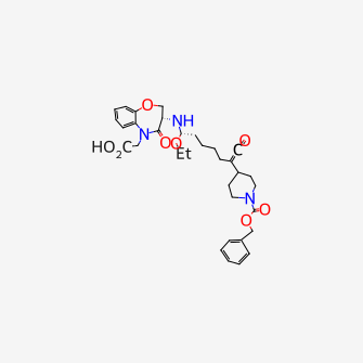 CCO[C@@H](CCCCC(=C=O)C1CCN(C(=O)OCc2ccccc2)CC1)N[C@H]1COc2ccccc2N(CC(=O)O)C1=O